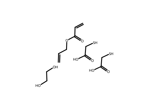 C=CCOC(=O)C=C.O=C(O)CS.O=C(O)CS.OCCO